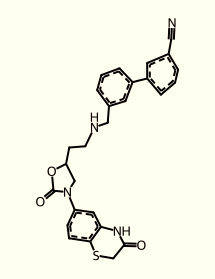 N#Cc1cccc(-c2cccc(CNCCC3CN(c4ccc5c(c4)NC(=O)CS5)C(=O)O3)c2)c1